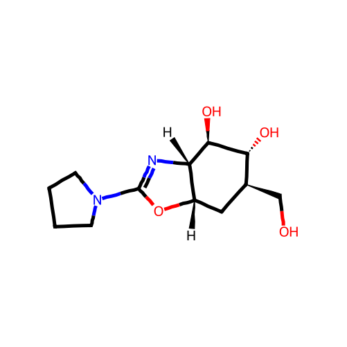 OC[C@H]1C[C@@H]2OC(N3CCCC3)=N[C@@H]2[C@@H](O)[C@@H]1O